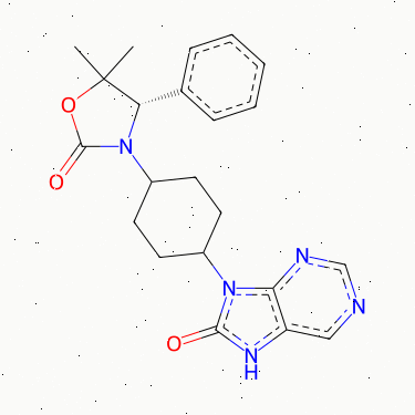 CC1(C)OC(=O)N(C2CCC(n3c(=O)[nH]c4cncnc43)CC2)[C@H]1c1ccccc1